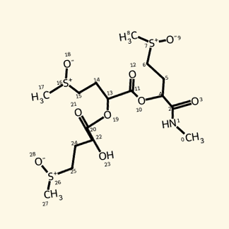 CNC(=O)C(CC[S+](C)[O-])OC(=O)C(CC[S+](C)[O-])OC(=O)C(O)CC[S+](C)[O-]